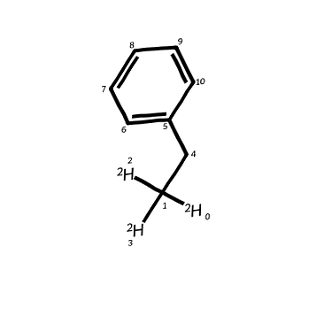 [2H]C([2H])([2H])Cc1ccccc1